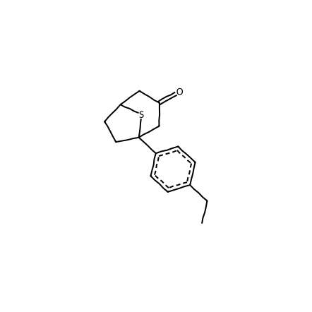 CCc1ccc(C23CCC(CC(=O)C2)S3)cc1